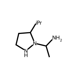 CC(C)C1CCNN1C(C)N